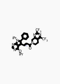 CC(C)Oc1ncnc2c1c(/C=C/C(=O)N1CCc3c(nc(C(F)(F)F)nc3C(F)(F)F)C1)c(-c1ccccc1)n2C(C)C